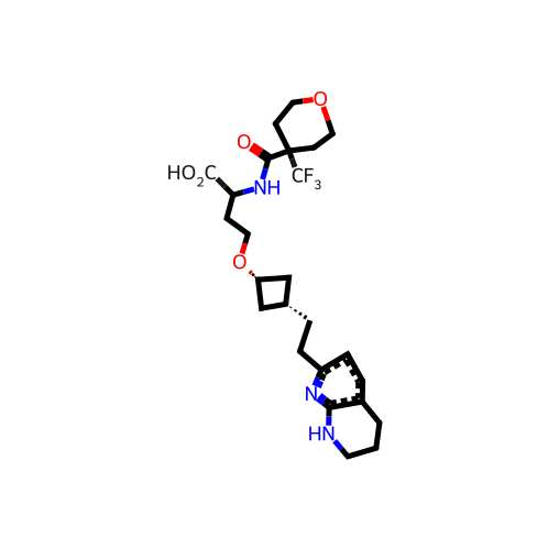 O=C(O)C(CCO[C@H]1C[C@@H](CCc2ccc3c(n2)NCCC3)C1)NC(=O)C1(C(F)(F)F)CCOCC1